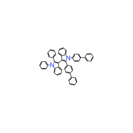 c1ccc(-c2ccc(-c3c(-c4c(-c5ccccc5)n(-c5ccccc5)c5ccccc45)c4ccccc4n3-c3ccc(-c4ccccc4)cc3)cc2)cc1